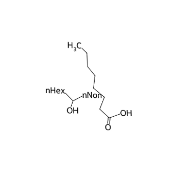 CCCCCCCC(=O)O.CCCCCCCCCC(O)CCCCCC